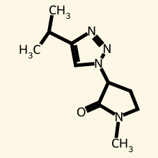 CC(C)c1cn(C2CCN(C)C2=O)nn1